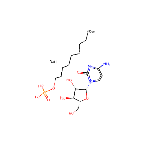 CCCCCCCCCCCCCCCCCCOP(=O)(O)O.Nc1ccn([C@@H]2O[C@H](CO)[C@@H](O)[C@@H]2O)c(=O)n1.[NaH]